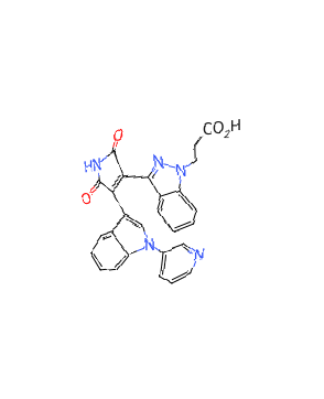 O=C(O)CCn1nc(C2=C(c3cn(-c4cccnc4)c4ccccc34)C(=O)NC2=O)c2ccccc21